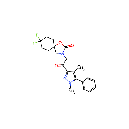 Cc1c(C(=O)CN2CC3(CCC(F)(F)CC3)OC2=O)nn(C)c1-c1ccccc1